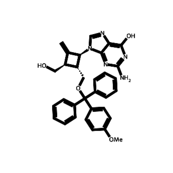 C=C1[C@@H](n2cnc3c(O)nc(N)nc32)[C@H](COC(c2ccccc2)(c2ccccc2)c2ccc(OC)cc2)[C@H]1CO